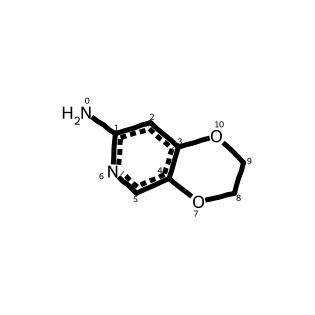 Nc1cc2c(cn1)OCCO2